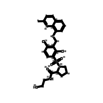 Cc1ccc2cccc(OCc3c(Cl)ccc(S(=O)(=O)N4CCCC4C(=O)NCCO)c3Cl)c2n1